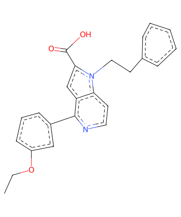 CCOc1cccc(-c2nccc3c2cc(C(=O)O)n3CCc2ccccc2)c1